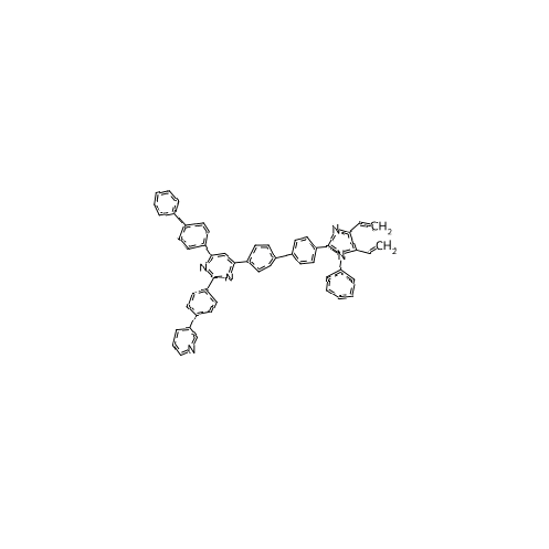 C=Cc1nc(-c2ccc(-c3ccc(-c4cc(-c5ccc(-c6ccccc6)cc5)nc(-c5ccc(-c6cccnc6)cc5)n4)cc3)cc2)n(-c2ccccc2)c1C=C